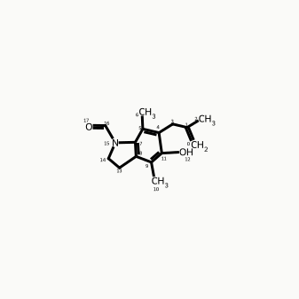 C=C(C)Cc1c(C)c2c(c(C)c1O)CCN2C=O